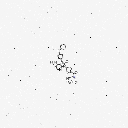 N#C/C(=C\C1(N)CC1)C(=O)N1CCC(n2c(=O)n(-c3ccc(Oc4ccccc4)cc3)c3c(N)ncnc32)CC1